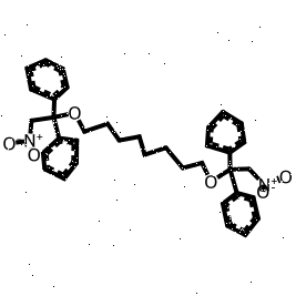 O=[N+]([O-])CC(OCCCCCCCCOC(C[N+](=O)[O-])(c1ccccc1)c1ccccc1)(c1ccccc1)c1ccccc1